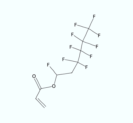 C=CC(=O)OC(F)CC(F)(F)C(F)(F)C(F)(F)C(F)(F)F